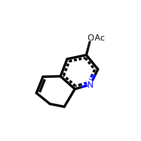 CC(=O)Oc1cnc2c(c1)C=CCC2